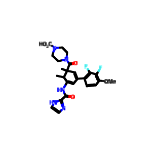 COc1ccc(C2=CC(C)(C(=O)N3CCN(C(=O)O)CC3)C(C)C(NC(=O)c3ncc[nH]3)=C2)c(F)c1F